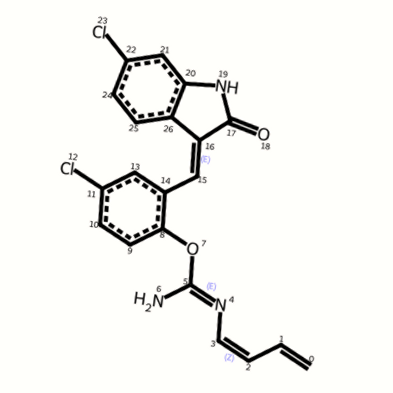 C=C/C=C\N=C(/N)Oc1ccc(Cl)cc1/C=C1/C(=O)Nc2cc(Cl)ccc21